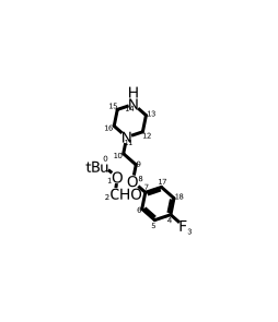 CC(C)(C)OC=O.Fc1ccc(OCCN2CCNCC2)cc1